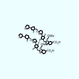 COCCn1c(Cc2cc(F)c(-c3cccc(OCc4ccc(-c5cccnc5)cc4F)n3)cc2F)nc2ccc(C(=O)O)cc21.COCCn1c(Cc2cc(F)c(-c3cccc(OCc4ccc(-c5cccnc5)cc4F)n3)cc2F)nc2ccc(C(=O)O)cc21